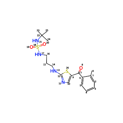 Cc1ccccc1C(=O)c1cnc(NCCCNS(=O)(=O)NC(C)(C)C)s1